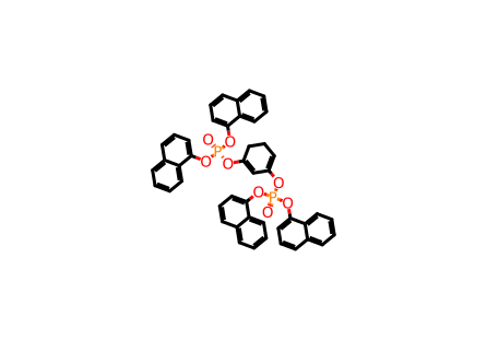 O=P(OC1=CCCC(OP(=O)(Oc2cccc3ccccc23)Oc2cccc3ccccc23)=C1)(Oc1cccc2ccccc12)Oc1cccc2ccccc12